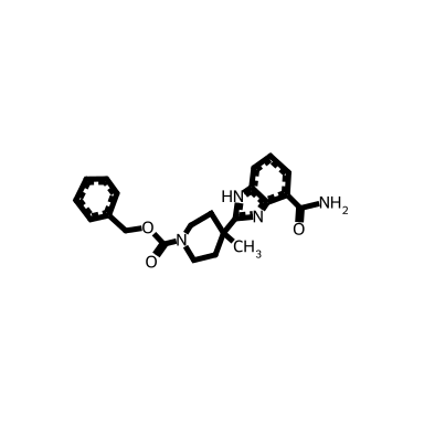 CC1(c2nc3c(C(N)=O)cccc3[nH]2)CCN(C(=O)OCc2ccccc2)CC1